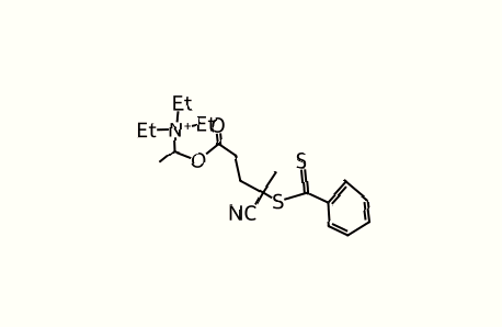 CC[N+](CC)(CC)C(C)OC(=O)CCC(C)(C#N)SC(=S)c1ccccc1